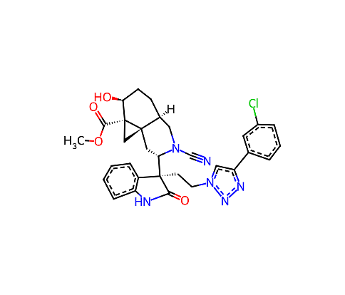 COC(=O)[C@@]12C[C@@]13C[C@@H]([C@@]1(CCn4cc(-c5cccc(Cl)c5)nn4)C(=O)Nc4ccccc41)N(C#N)C[C@@H]3CC[C@@H]2O